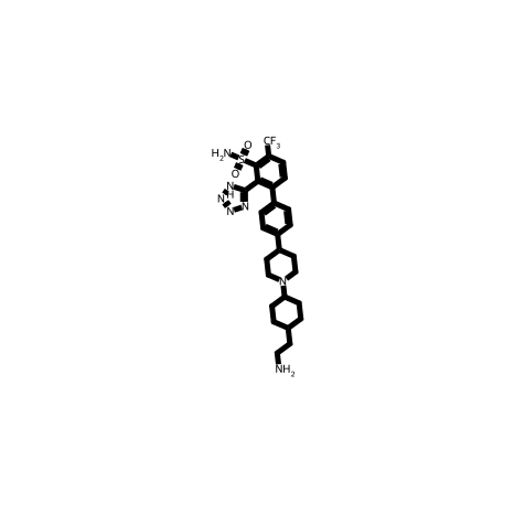 NCCC1CCC(N2CCC(c3ccc(-c4ccc(C(F)(F)F)c(S(N)(=O)=O)c4-c4nnn[nH]4)cc3)CC2)CC1